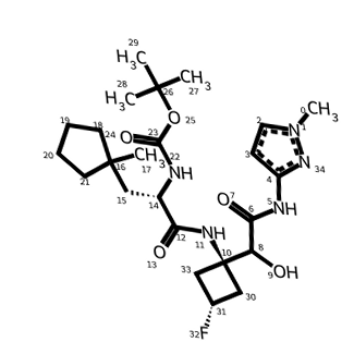 Cn1ccc(NC(=O)C(O)[C@]2(NC(=O)[C@H](CC3(C)CCCC3)NC(=O)OC(C)(C)C)C[C@H](F)C2)n1